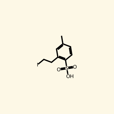 Cc1ccc(S(=O)(=O)O)c(CCI)c1